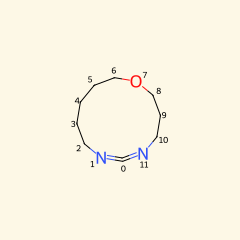 C1=NCCCCCOCCCN=1